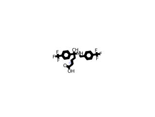 CC(C/C=C/C(=O)O)(NCc1ccc(C(F)(F)F)cc1)c1ccc(C(F)(F)F)cc1